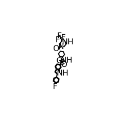 O=C([C@H]1CC[C@H](NS(=O)(=O)c2ccc3cc(-c4ccc(F)cc4)[nH]c3c2)CC1)N1CCNC(C(F)(F)F)C1